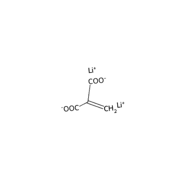 C=C(C(=O)[O-])C(=O)[O-].[Li+].[Li+]